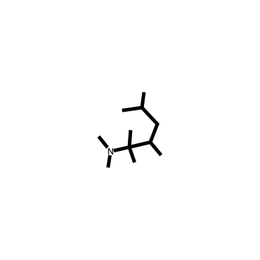 CC(C)CC(C)C(C)(C)N(C)C